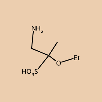 CCOC(C)(CN)S(=O)(=O)O